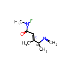 C=N[C@@H](C)/C(C)=C/C(=O)N(C)F